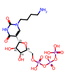 NCCCCn1cc([C@@H]2O[C@H](COP(=O)(O)OP(=O)(O)OP(=O)(O)O)[C@@H](O)[C@H]2O)c(=O)[nH]c1=O